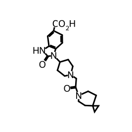 O=C(O)c1ccc2c(c1)[nH]c(=O)n2C1CCN(CC(=O)N2CCC3(CC2)CC3)CC1